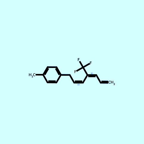 C=C/C=C(\C=C/Cc1ccc(C)cc1)C(F)(F)F